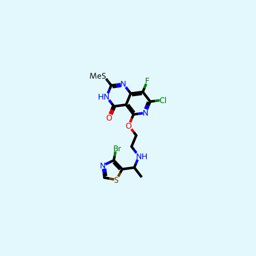 CSc1nc2c(F)c(Cl)nc(OCCNC(C)c3scnc3Br)c2c(=O)[nH]1